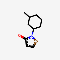 CC1CCCC(n2sccc2=O)C1